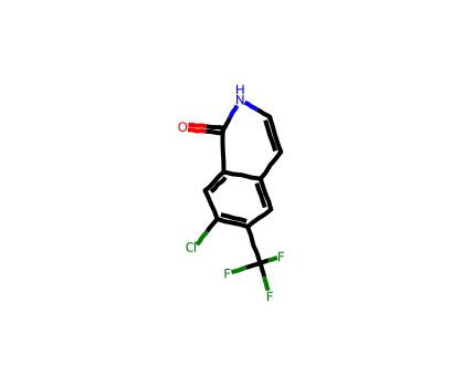 O=c1[nH]ccc2cc(C(F)(F)F)c(Cl)cc12